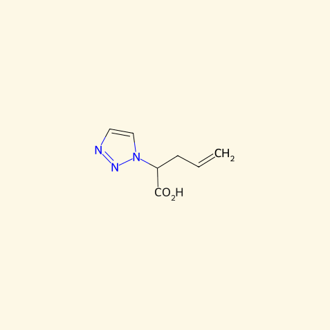 C=CCC(C(=O)O)n1ccnn1